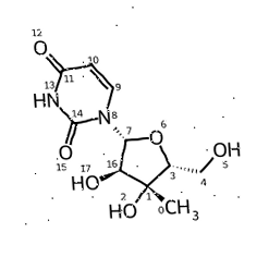 C[C@]1(O)[C@@H](CO)O[C@@H](n2ccc(=O)[nH]c2=O)[C@@H]1O